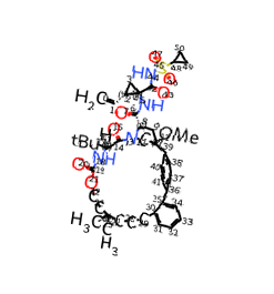 C=C[C@@H]1C[C@]1(NC(=O)[C@@H]1C[C@]2(OC)CN1C(=O)[C@H](C(C)(C)C)NC(=O)OCCC(C)(C)CCCc1ccccc1-c1ccc2cc1)C(=O)NS(=O)(=O)C1CC1